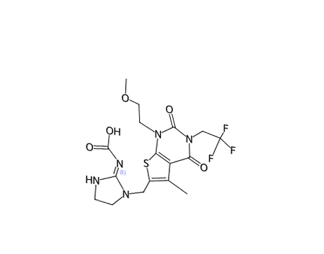 COCCn1c(=O)n(CC(F)(F)F)c(=O)c2c(C)c(CN3CCN/C3=N\C(=O)O)sc21